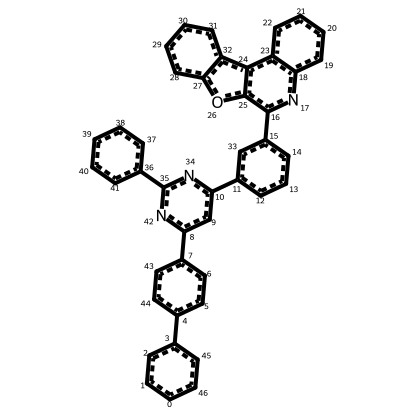 c1ccc(-c2ccc(-c3cc(-c4cccc(-c5nc6ccccc6c6c5oc5ccccc56)c4)nc(-c4ccccc4)n3)cc2)cc1